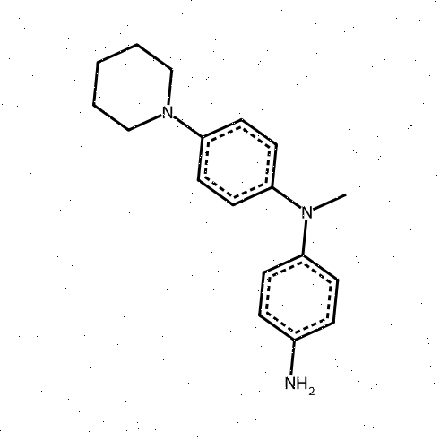 CN(c1ccc(N)cc1)c1ccc(N2CCCCC2)cc1